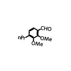 CCCc1ccc(C=O)c(OC)c1OC